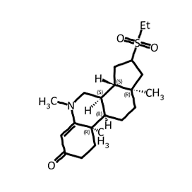 CCS(=O)(=O)C1C[C@H]2[C@@H]3CN(C)C4=CC(=O)CC[C@]4(C)[C@@H]3CC[C@]2(C)C1